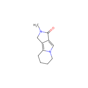 CN1Cc2c(cn3c2CCCC3)C1=O